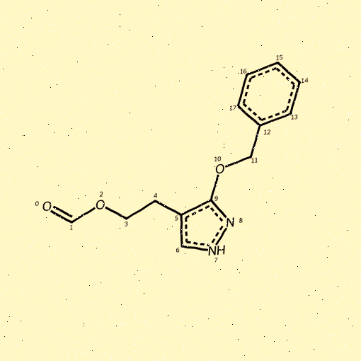 O=COCCc1c[nH]nc1OCc1ccccc1